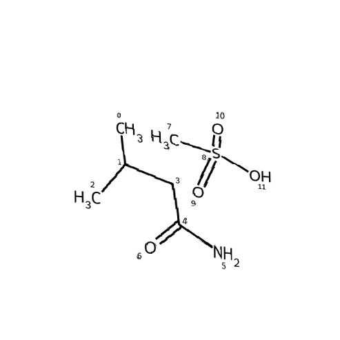 CC(C)CC(N)=O.CS(=O)(=O)O